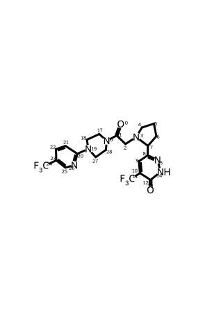 O=C(CN1CCCC1c1cc(C(F)(F)F)c(=O)[nH]n1)N1CCN(c2ccc(C(F)(F)F)cn2)CC1